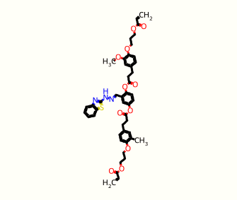 C=CC(=O)OCCCOc1ccc(CCC(=O)Oc2ccc(OC(=O)CCc3ccc(OCCCOC(=O)C=C)c(OC)c3)c(/C=N/Nc3nc4ccccc4s3)c2)cc1C